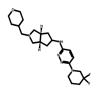 FC1(F)CCCN(c2ccc(NC3C[C@@H]4CN(CC5CCOCC5)C[C@@H]4C3)nn2)C1